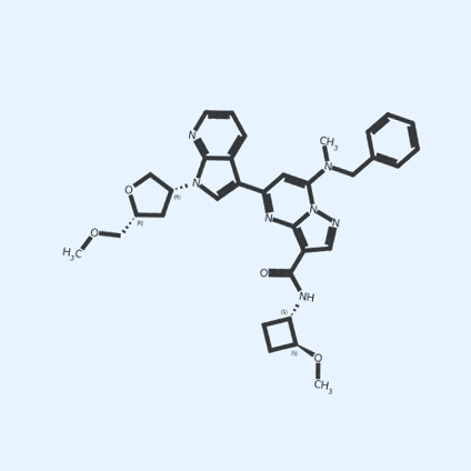 COC[C@H]1C[C@@H](n2cc(-c3cc(N(C)Cc4ccccc4)n4ncc(C(=O)N[C@H]5CC[C@@H]5OC)c4n3)c3cccnc32)CO1